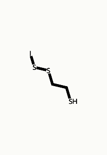 SCCSSI